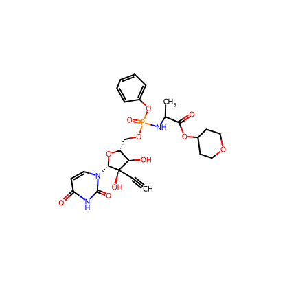 C#C[C@@]1(O)[C@H](O)[C@@H](COP(=O)(NC(C)C(=O)OC2CCOCC2)Oc2ccccc2)O[C@H]1n1ccc(=O)[nH]c1=O